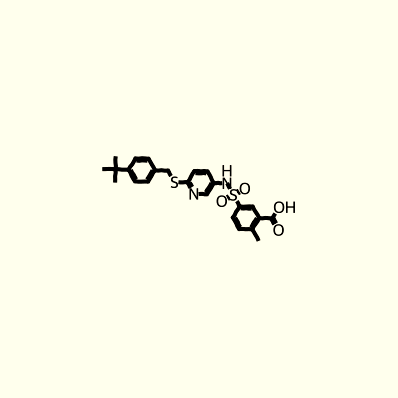 Cc1ccc(S(=O)(=O)Nc2ccc(SCc3ccc(C(C)(C)C)cc3)nc2)cc1C(=O)O